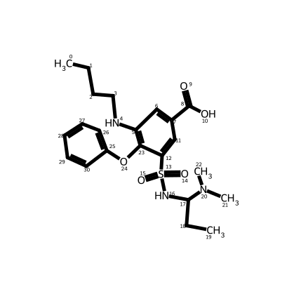 CCCCNc1cc(C(=O)O)cc(S(=O)(=O)NC(CC)N(C)C)c1Oc1ccccc1